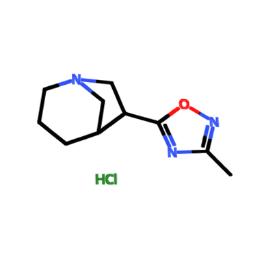 Cc1noc(C2CN3CCCC2C3)n1.Cl